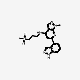 Cn1ncc2c(NCCCS(C)(=O)=O)cc(-c3cccc4[nH]ncc34)nc21